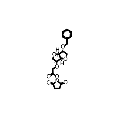 O=C(CO[C@H]1CO[C@H]2[C@@H]1OC[C@H]2OCc1ccccc1)ON1C(=O)CCC1=O